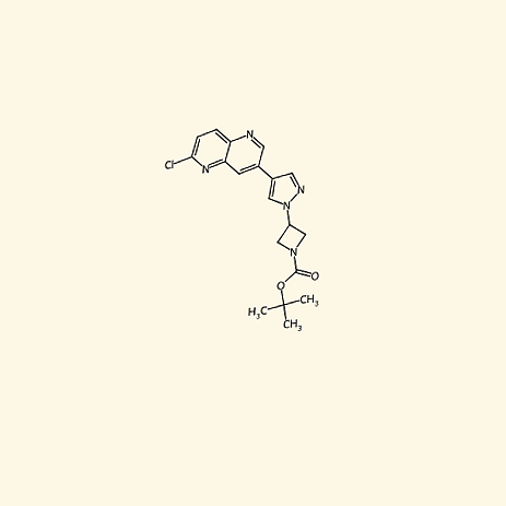 CC(C)(C)OC(=O)N1CC(n2cc(-c3cnc4ccc(Cl)nc4c3)cn2)C1